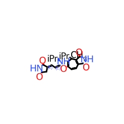 CC(C)N/C(=C\C=C1/CC(=O)NC1=O)OC1=CC(C)(C(C)C)C2=C(C=C1)C(=O)NC2=O